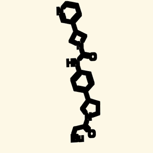 CCC(C)CC(=O)N1CCC(c2ccc(NC(=O)N3CC(c4cccnc4)C3)cc2)C1